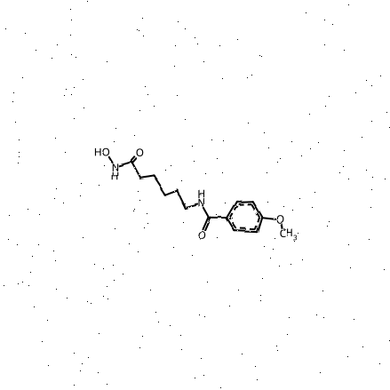 COc1ccc(C(=O)NCCCCCC(=O)NO)cc1